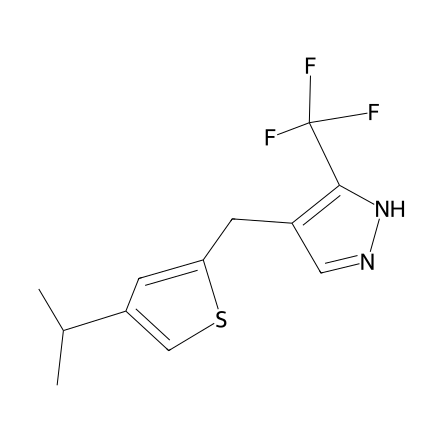 CC(C)c1csc(Cc2cn[nH]c2C(F)(F)F)c1